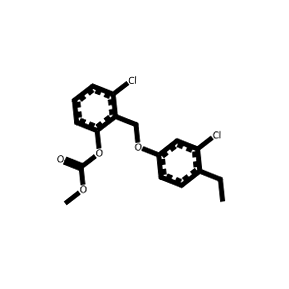 CCc1ccc(OCc2c(Cl)cccc2OC(=O)OC)cc1Cl